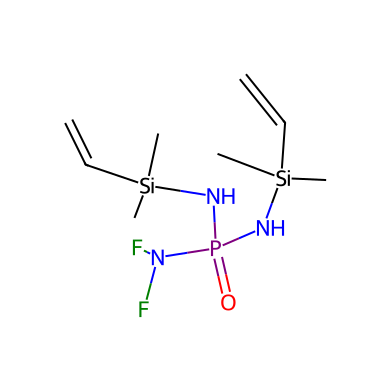 C=C[Si](C)(C)NP(=O)(N[Si](C)(C)C=C)N(F)F